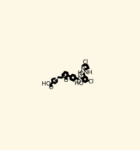 O=C(Nc1c(O)cc(Cl)cc1C(=O)Nc1ccc(Cl)cn1)c1ccc(-c2cccn(CCN3CCC(C(=O)O)CC3)c2=O)cc1